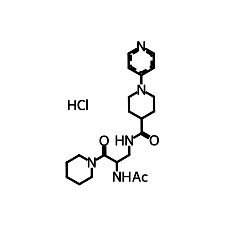 CC(=O)NC(CNC(=O)C1CCN(c2ccncc2)CC1)C(=O)N1CCCCC1.Cl